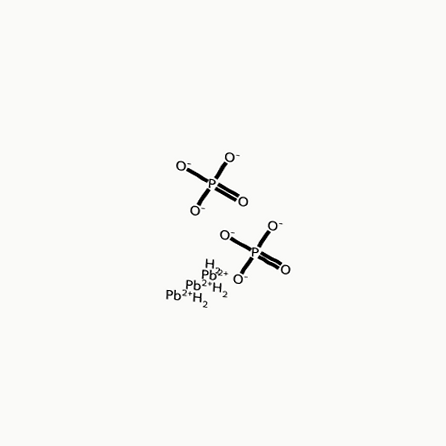 O=P([O-])([O-])[O-].O=P([O-])([O-])[O-].[PbH2+2].[PbH2+2].[PbH2+2]